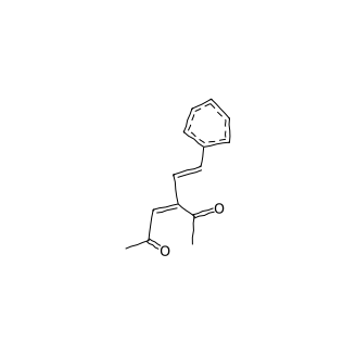 CC(=O)C=C(/C=C/c1ccccc1)C(C)=O